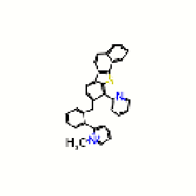 C[n+]1ccccc1-c1ccccc1Cc1ccc2c(sc3c4ccccc4ccc23)c1-c1ccccn1